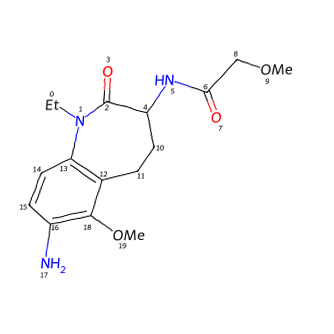 CCN1C(=O)C(NC(=O)COC)CCc2c1ccc(N)c2OC